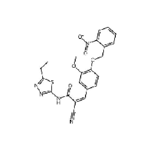 CCc1nnc(NC(=O)C(C#N)=Cc2ccc(OCc3ccccc3[N+](=O)[O-])c(OC)c2)s1